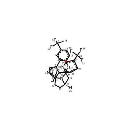 Cc1ncc(-c2cc(C(F)(F)F)ccc2O[C@H]2C[C@H]3CC[C@@H](C2)N3c2ccc(C(F)(F)F)cn2)o1